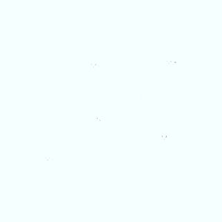 COc1ccc(N2c3ccc(OC)c4c3B3c5c(cc(OC)cc5Oc5c(OC)ccc2c53)O4)cc1